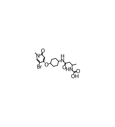 CC(CC(=O)NC1CCC(Oc2cc(=O)n(C)cc2Br)CC1)NC(=O)O